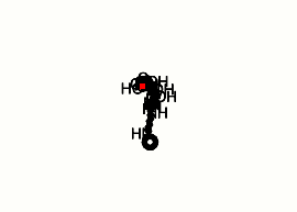 O=P(O)(O)OP(=O)(O)OP(=O)(O)OC[C@H]1O[C@@H](n2cnc3c(NCCCCCCNC4CCCCCCCCC4)ncnc32)C(O)C1O